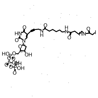 O=C(CI)NCCCC(=O)NCCCCCC(=O)NCC#Cc1cn([C@H]2CC(O)[C@@H](COP(=O)(O)OP(=O)(O)OP(=O)(O)O)O2)c(=O)[nH]c1=O